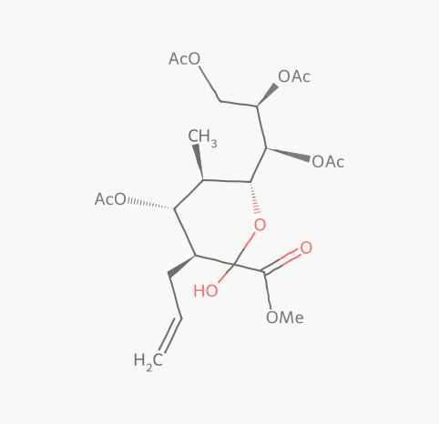 C=CC[C@H]1[C@H](OC(C)=O)[C@@H](C)[C@H]([C@H](OC(C)=O)[C@@H](COC(C)=O)OC(C)=O)OC1(O)C(=O)OC